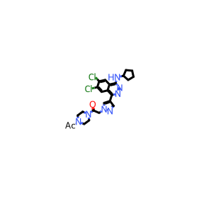 CC(=O)N1CCN(C(=O)Cn2cc(-c3nnc(NC4CCCC4)c4cc(Cl)c(Cl)cc34)cn2)CC1